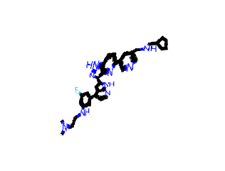 CN(C)CCNc1cc(F)cc(-c2ccnc3[nH]c(-c4n[nH]c5ccc(-c6cncc(CNCC7CCCC7)c6)nc45)cc23)c1